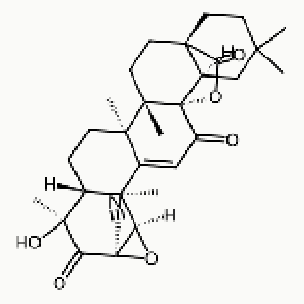 CC1(C)CC[C@@]23CC[C@@]4(C)[C@]5(C)CC[C@@H]6[C@@](C)(C5=CC(=O)[C@]4(OC2=O)[C@@H]3C1)[C@H]1O[C@@]1(C#N)C(=O)[C@@]6(C)O